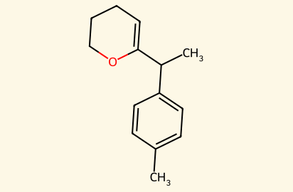 Cc1ccc(C(C)C2=CCCCO2)cc1